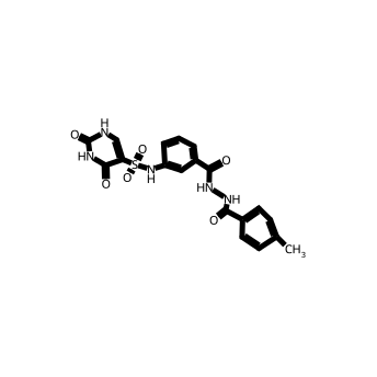 Cc1ccc(C(=O)NNC(=O)c2cccc(NS(=O)(=O)c3c[nH]c(=O)[nH]c3=O)c2)cc1